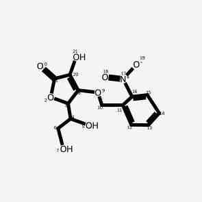 O=C1OC(C(O)CO)C(OCc2ccccc2[N+](=O)[O-])=C1O